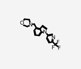 FC(F)(F)c1ccc(-n2ccc3c(CN4CCOCC4)cccc32)cn1